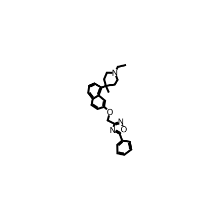 CCN1CCC(C)(c2cccc3ccc(OCc4noc(-c5ccccc5)n4)cc23)CC1